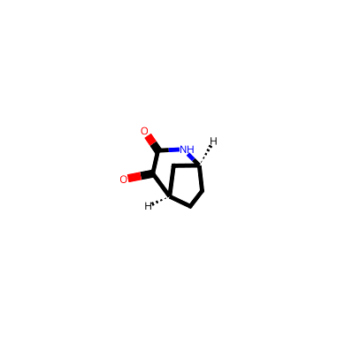 O=C1N[C@H]2CC[C@H](C2)C1=O